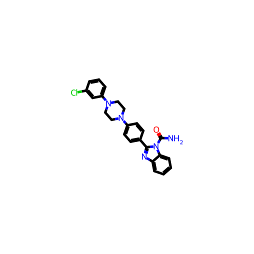 NC(=O)n1c(-c2ccc(N3CCN(c4cccc(Cl)c4)CC3)cc2)nc2ccccc21